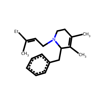 CCC(C)=CCN1CCC(C)=C(C)C1Cc1ccccc1